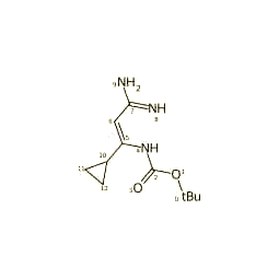 CC(C)(C)OC(=O)N/C(=C\C(=N)N)C1CC1